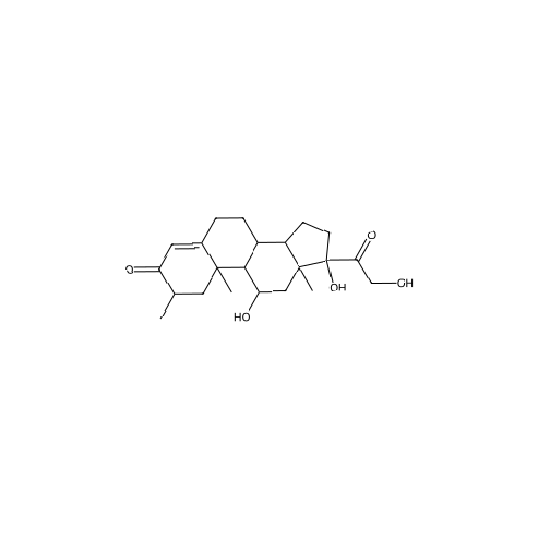 CC1CC2(C)C(=CC1=O)CCC1C2C(O)CC2(C)C1CCC2(O)C(=O)CO